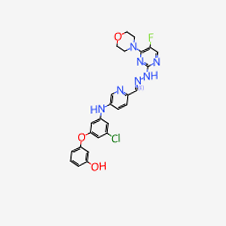 Oc1cccc(Oc2cc(Cl)cc(Nc3ccc(/C=N/Nc4ncc(F)c(N5CCOCC5)n4)nc3)c2)c1